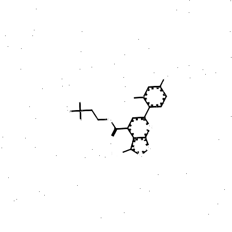 Cc1n[nH]c2nc(-c3ccc(O)cc3F)cc(C(=O)NCCC(C)(C)N)c12